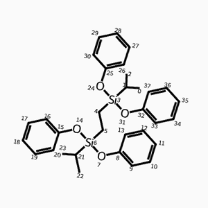 CC(C)[Si](CC[Si](Oc1ccccc1)(Oc1ccccc1)C(C)C)(Oc1ccccc1)Oc1ccccc1